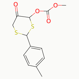 COC(=O)OC1SC(c2ccc(C)cc2)SCC1=O